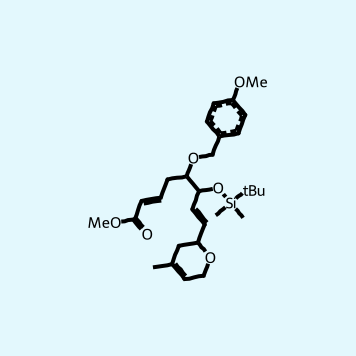 COC(=O)C=CCC(OCc1ccc(OC)cc1)C(C=CC1CC(C)=CCO1)O[Si](C)(C)C(C)(C)C